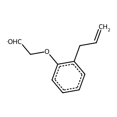 C=CCc1ccccc1OC[C]=O